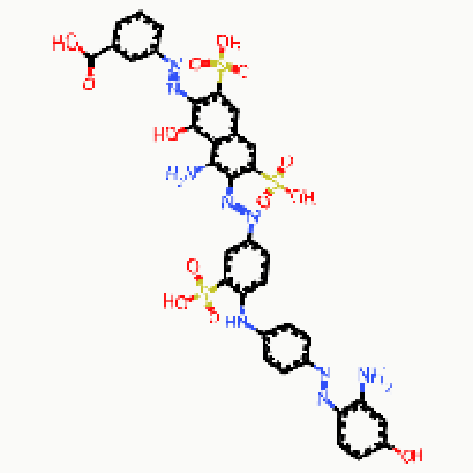 Nc1cc(O)ccc1N=Nc1ccc(Nc2ccc(N=Nc3c(S(=O)(=O)O)cc4cc(S(=O)(=O)O)c(N=Nc5cccc(C(=O)O)c5)c(O)c4c3N)cc2S(=O)(=O)O)cc1